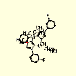 CC1=[C]([Zr]([CH3])(=[GeH2])([C]2=C(C)C(c3cccc(F)c3)=CC2C)[c]2ccccc2)C(C)C=C1c1cccc(F)c1.Cl.Cl